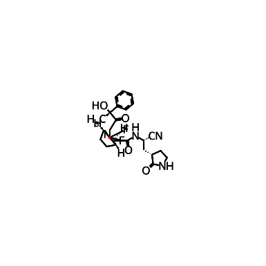 C[C@](O)(C(=O)N1[C@H]2CC[C@@H]([C@@H]1C(=O)N[C@H](C#N)C[C@@H]1CCNC1=O)C(F)(F)C2)c1ccccc1